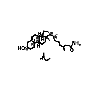 CC(CCC[C@@H](C)[C@H]1CC[C@H]2[C@@H]3CC=C4C[C@@H](O)CC[C@]4(C)[C@H]3CC[C@]12C)CC(N)=O.CCN(C)C